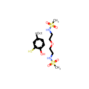 CCCCCCCCc1ccc(O)c(S)c1.CS(=O)(=O)NCCOCCNS(C)(=O)=O